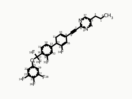 CCCc1cnc(C#CC2=CCC(c3ccc(C(F)(F)Oc4cc(F)c(F)c(F)c4)c(F)c3)C(F)=C2)nc1